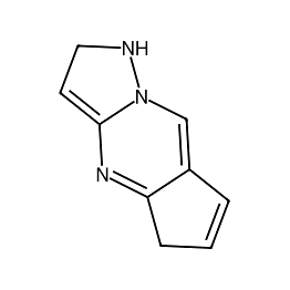 C1=CC2=CN3NCC=C3N=C2C1